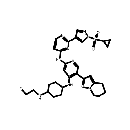 O=S(=O)(C1CC1)n1cc(-c2nccc(Nc3cc(NC4CCC(NCCF)CC4)c(-c4cc5n(n4)CCCC5)cn3)n2)cn1